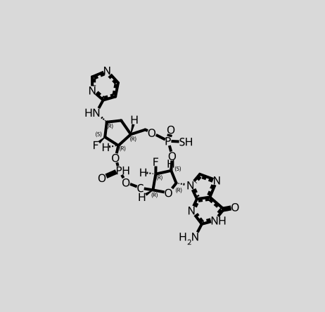 Nc1nc2c(ncn2[C@@H]2O[C@@H]3CO[PH](=O)O[C@@H]4[C@@H](COP(=O)(S)O[C@@H]2[C@@H]3F)C[C@@H](Nc2ccncn2)[C@@H]4F)c(=O)[nH]1